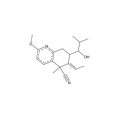 C/C=C1\C(C(O)C(C)C)Cc2nc(OC)ccc2C1(C)C#N